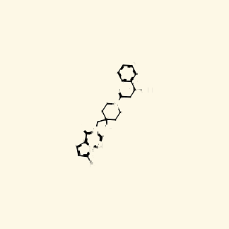 C[C@@H](CC(=O)N1CCC(O)(Cn2cnn3c(Br)ccc3c2=O)CC1)c1ccccc1